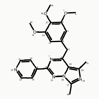 COc1cc(Cc2nc(-c3ccncc3)nn3c(C)nc(C)c23)cc(OC)c1OC